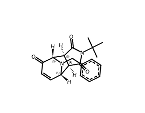 CC(C)(C)N1C(=O)[C@@H]2[C@H](C1=O)[C@H]1C(=O)C=C[C@@H]2N1Cc1ccccc1